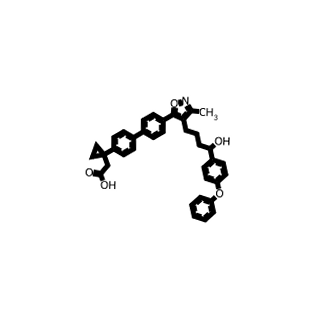 Cc1noc(-c2ccc(-c3ccc(C4(CC(=O)O)CC4)cc3)cc2)c1CCCC(O)c1ccc(Oc2ccccc2)cc1